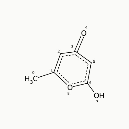 Cc1cc(=O)cc(O)o1